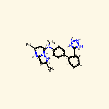 CCc1cc(N(C)c2ccc(-c3ccccc3-c3nnn[nH]3)cc2)n2nc(C)cc2n1